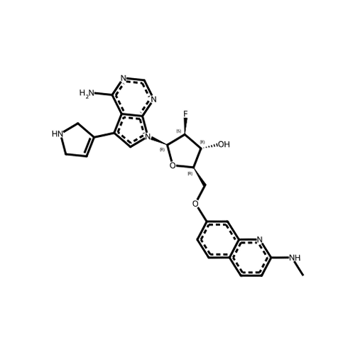 CNc1ccc2ccc(OC[C@H]3O[C@@H](n4cc(C5=CCNC5)c5c(N)ncnc54)[C@@H](F)[C@@H]3O)cc2n1